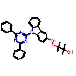 CC(C)(O)C(C)(C)OPc1ccc2c(c1)c1ccccc1n2-c1nc(-c2ccccc2)nc(-c2ccccc2)n1